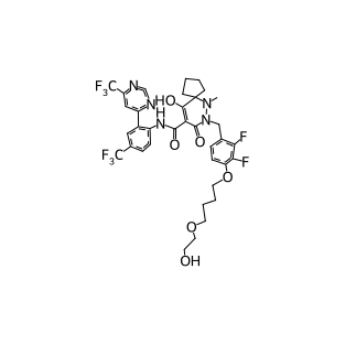 CN1N(Cc2ccc(OCCCCOCCO)c(F)c2F)C(=O)C(C(=O)Nc2ccc(C(F)(F)F)cc2-c2cc(C(F)(F)F)ncn2)=C(O)C12CCCC2